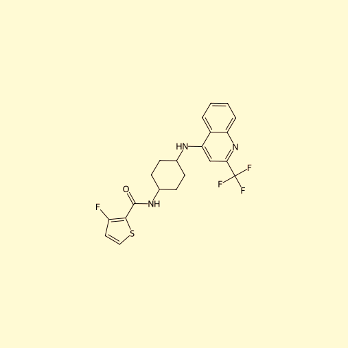 O=C(NC1CCC(Nc2cc(C(F)(F)F)nc3ccccc23)CC1)c1sccc1F